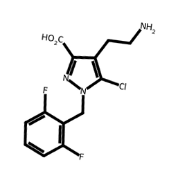 NCCc1c(C(=O)O)nn(Cc2c(F)cccc2F)c1Cl